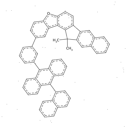 CC1(C)c2cc3ccccc3cc2-c2ccc3oc4ccc(-c5cccc(-c6c7ccccc7c(-c7cccc8ccccc78)c7ccccc67)c5)cc4c3c21